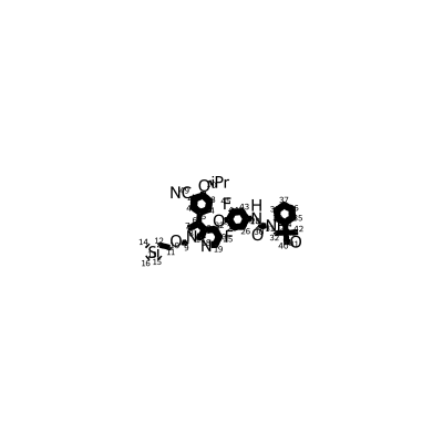 CC(C)Oc1ccc(-c2cn(COCC[Si](C)(C)C)c3nccc(Oc4c(F)cc(NC(=O)NCC5(c6ccccc6)COC5)cc4F)c23)cc1C#N